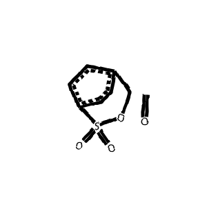 C=O.O=S1(=O)OCc2ccc1cc2